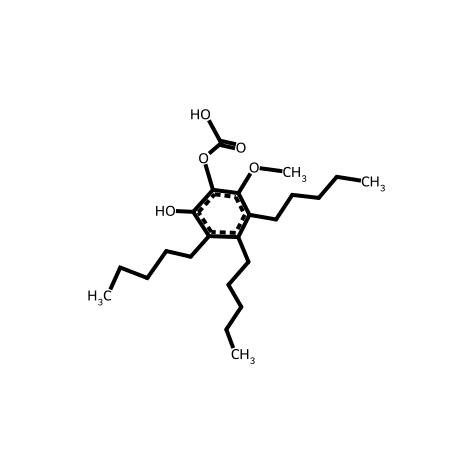 CCCCCc1c(O)c(OC(=O)O)c(OC)c(CCCCC)c1CCCCC